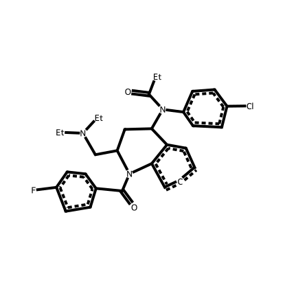 CCC(=O)N(c1ccc(Cl)cc1)C1CC(CN(CC)CC)N(C(=O)c2ccc(F)cc2)c2ccccc21